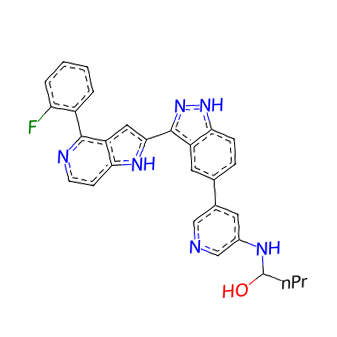 CCCC(O)Nc1cncc(-c2ccc3[nH]nc(-c4cc5c(-c6ccccc6F)nccc5[nH]4)c3c2)c1